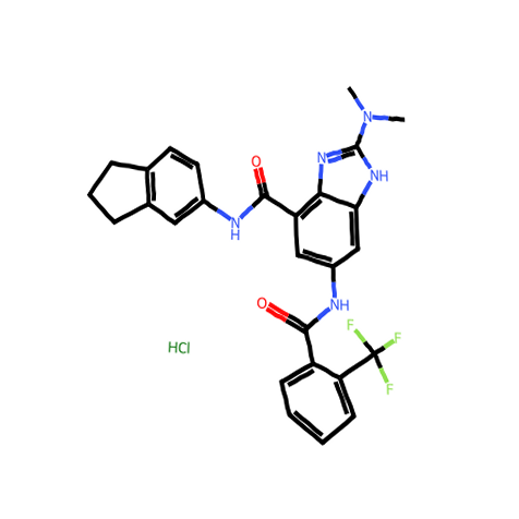 CN(C)c1nc2c(C(=O)Nc3ccc4c(c3)CCC4)cc(NC(=O)c3ccccc3C(F)(F)F)cc2[nH]1.Cl